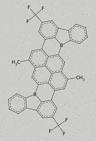 Cc1cc2c3c(cc4c(C)cc5c6c(cc1c3c46)B1c3ccccc3-c3cc(C(F)(F)F)cc-5c31)B1c3ccccc3-c3cc(C(F)(F)F)cc-2c31